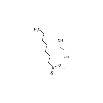 CCCCCCCC(=O)OF.OCCO